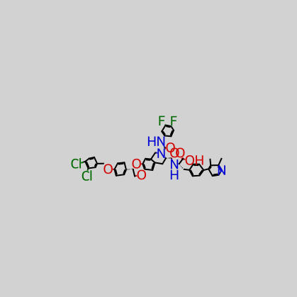 Cc1nccc(-c2ccc(C[C@H](NC(=O)[C@@H]3Cc4cc5c(cc4CN3C(=O)Nc3ccc(F)c(F)c3)O[C@@H](c3ccc(OCc4ccc(Cl)c(Cl)c4)cc3)CO5)C(=O)O)cc2)c1C